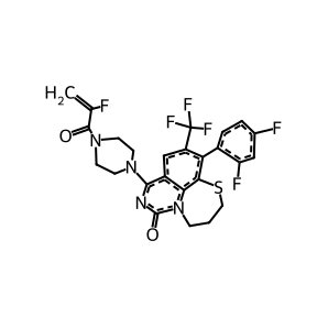 C=C(F)C(=O)N1CCN(c2nc(=O)n3c4c(c(-c5ccc(F)cc5F)c(C(F)(F)F)cc24)SCCC3)CC1